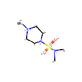 CN(C)S(=O)(=O)N1CCN(C(C)(C)C)CC1